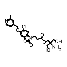 Cc1cc(COc2cc3oc(=O)n(CCC(=O)OCC(N)(CO)CO)c3cc2Cl)ccn1